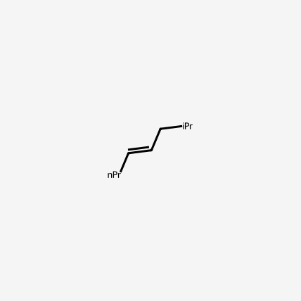 [CH2]C(C)C/C=C/CCC